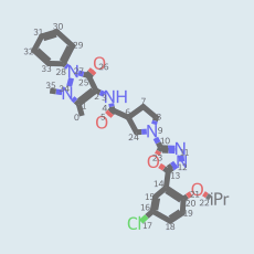 Cc1c(NC(=O)C2CCN(c3nnc(-c4cc(Cl)ccc4OC(C)C)o3)C2)c(=O)n(-c2ccccc2)n1C